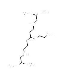 COC(CPCCCC(CCPCC(OC)OC)OCCN)OC